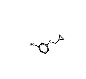 Oc1[c]c(OCC2CC2)ccc1